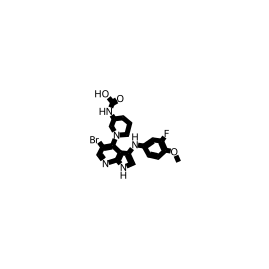 COc1ccc(Nc2c[nH]c3ncc(Br)c(N4CCCC(NC(=O)O)C4)c23)cc1F